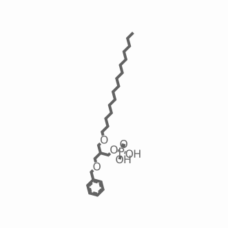 CCCCCCCCCCCCCCCCOCC(COCc1ccccc1)COP(=O)(O)O